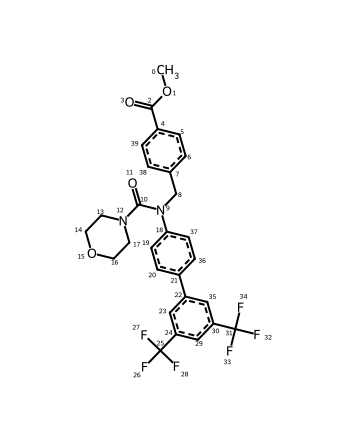 COC(=O)c1ccc(CN(C(=O)N2CCOCC2)c2ccc(-c3cc(C(F)(F)F)cc(C(F)(F)F)c3)cc2)cc1